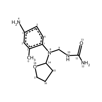 Cc1cc(N)ccc1N(CNC(N)=O)C1CCCO1